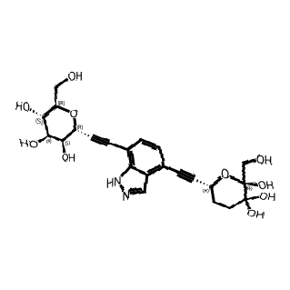 OC[C@H]1O[C@H](C#Cc2ccc(C#C[C@H]3CCC(O)(O)[C@@](O)(CO)O3)c3cn[nH]c23)[C@@H](O)[C@@H](O)[C@@H]1O